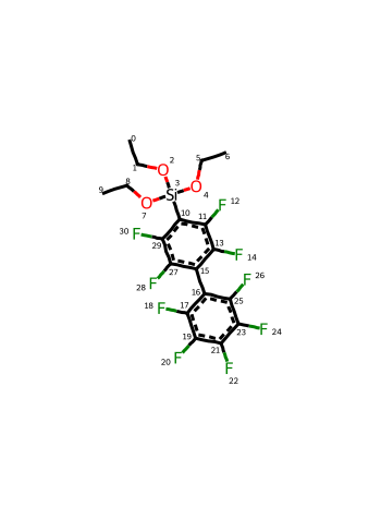 CCO[Si](OCC)(OCC)c1c(F)c(F)c(-c2c(F)c(F)c(F)c(F)c2F)c(F)c1F